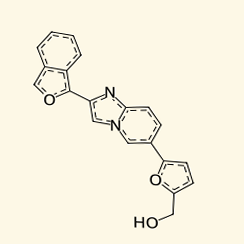 OCc1ccc(-c2ccc3nc(-c4occ5ccccc45)cn3c2)o1